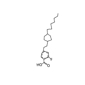 CCCCCCCC1CCC(CCc2ccc(C(=O)O)c(F)c2)CC1